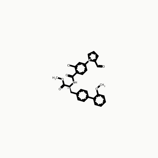 COC(=O)[C@H](Cc1ccc(-c2ccccc2OC)cc1)NC(=O)c1ccc(-n2cccc2C=O)cc1Cl